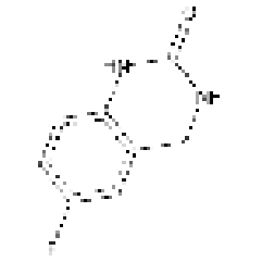 O=C1NCc2cc(F)ccc2N1